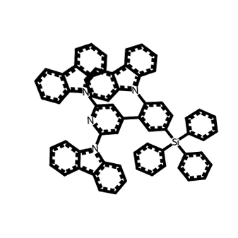 c1ccc([Si](c2ccccc2)(c2ccccc2)c2ccc(-n3c4ccccc4c4ccccc43)c(-c3cc(-n4c5ccccc5c5ccccc54)nc(-n4c5ccccc5c5ccccc54)c3)c2)cc1